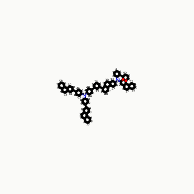 c1ccc(-c2ccccc2N(c2ccc3c(ccc4ccccc43)c2)c2ccc3c(ccc4c(-c5cccc(-c6ccc(N(c7ccc(-c8ccc9c(ccc%10ccccc%109)c8)cc7)c7ccc(-c8ccc9c(ccc%10ccccc%109)c8)cc7)cc6)c5)cccc43)c2)cc1